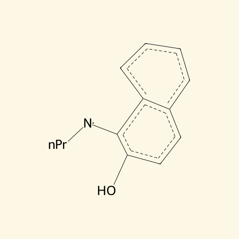 CCC[N]c1c(O)ccc2ccccc12